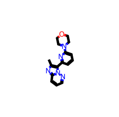 Cc1nc2cccnn2c1-c1cccc(N2CCOCC2)n1